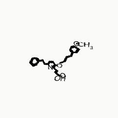 COc1ccc(CCCCOc2ccc(CCc3ccccc3)nc2/C=C/C(=O)O)cc1